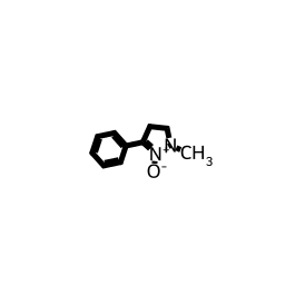 CN1CCC(c2ccccc2)=[N+]1[O-]